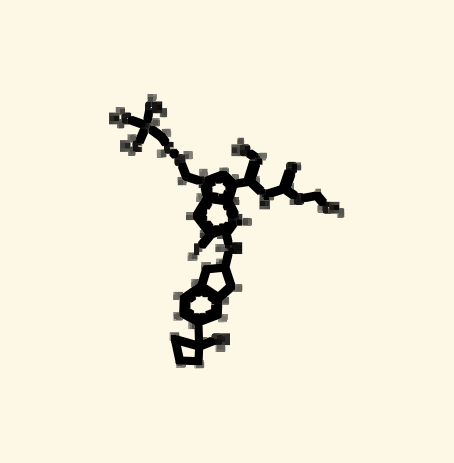 CCOC(=O)N/C(=N/O)c1cn(COCC[Si](C)(C)C)c2cc(F)c(NC3Cc4ccc(C5(O)CCC5)cc4C3)nc12